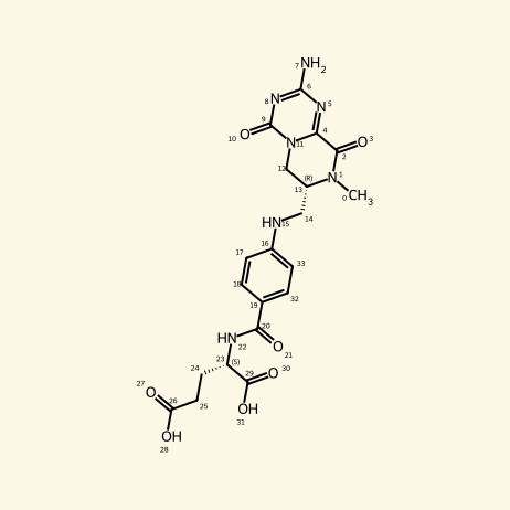 CN1C(=O)c2nc(N)nc(=O)n2C[C@H]1CNc1ccc(C(=O)N[C@@H](CCC(=O)O)C(=O)O)cc1